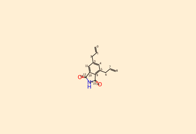 C=CCc1cc(CC=C)c2c(c1)C(=O)NC2=O